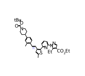 CCOC(=O)c1cnn(-c2cccc(-c3sc(C)cc3/C=C/c3ccc(C4CCN(C(=O)OC(C)(C)C)CC4)cc3C)n2)c1CC